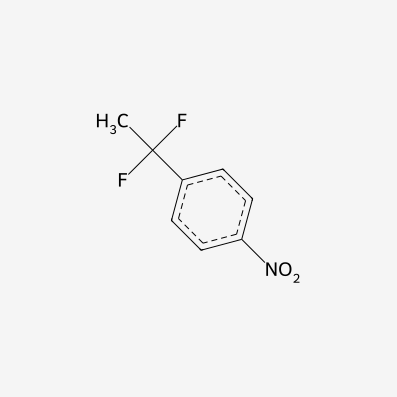 CC(F)(F)c1ccc([N+](=O)[O-])cc1